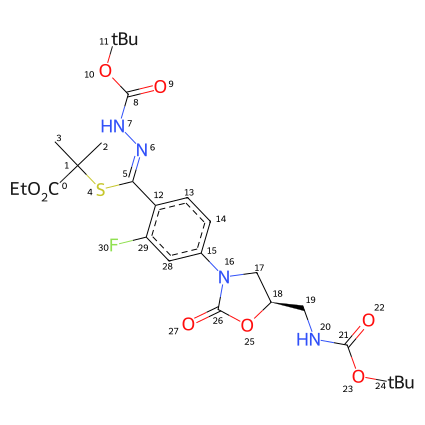 CCOC(=O)C(C)(C)SC(=NNC(=O)OC(C)(C)C)c1ccc(N2C[C@@H](CNC(=O)OC(C)(C)C)OC2=O)cc1F